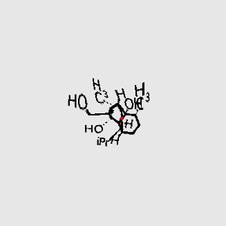 CC(C)[C@@H]1CC[C@H](C)[C@@H]2C=C(CO)[C@@H](O)[C@@H]3[C@H]1CC[C@@H](C)[C@@]32O